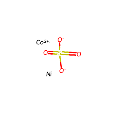 O=S(=O)([O-])[O-].[Co+2].[Ni]